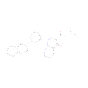 CC(C)NC(=O)c1cn(-c2cccc(-c3cc4ccccc4[n+]([O-])c3)c2)c2ncccc2c1=O